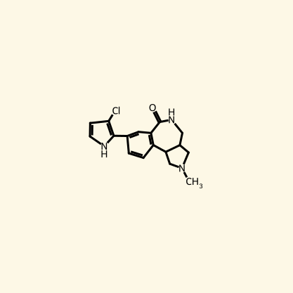 CN1CC2CNC(=O)c3cc(-c4[nH]ccc4Cl)ccc3C2C1